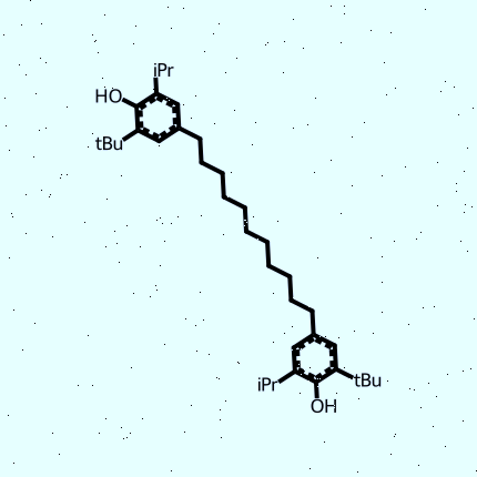 CC(C)c1cc(CCCCCCCCCCCc2cc(C(C)C)c(O)c(C(C)(C)C)c2)cc(C(C)(C)C)c1O